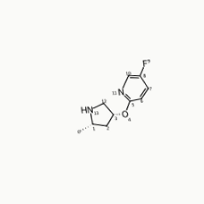 C[C@H]1C[C@@H](Oc2ccc(F)cn2)CN1